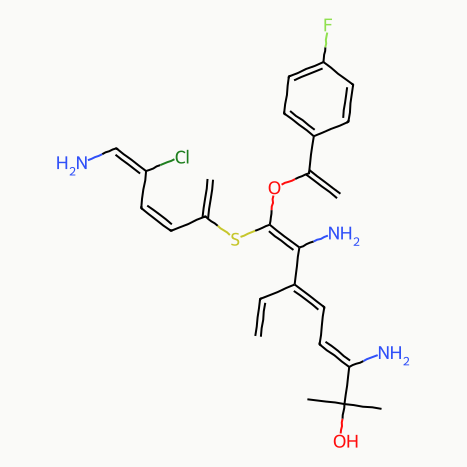 C=CC(=C\C=C(/N)C(C)(C)O)/C(N)=C(/OC(=C)c1ccc(F)cc1)SC(=C)/C=C\C(Cl)=C/N